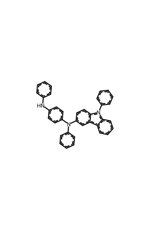 c1ccc(Nc2ccc(N(c3ccccc3)c3ccc4c(c3)c3ccccc3n4-c3ccccc3)cc2)cc1